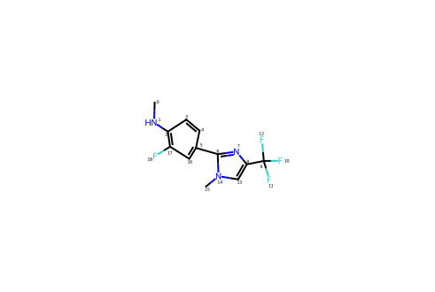 CNc1ccc(-c2nc(C(F)(F)F)cn2C)cc1F